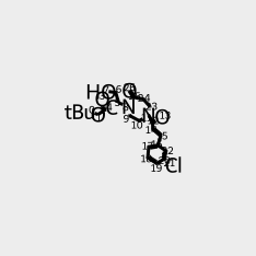 CC(C)(C)OC(=O)CC(CO)N1CCN(C(=O)/C=C/c2cccc(Cl)c2)CCC1=O